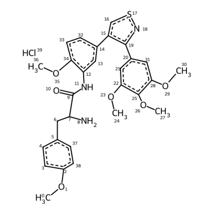 COc1ccc(CC(N)C(=O)Nc2cc(-c3csnc3-c3cc(OC)c(OC)c(OC)c3)ccc2OC)cc1.Cl